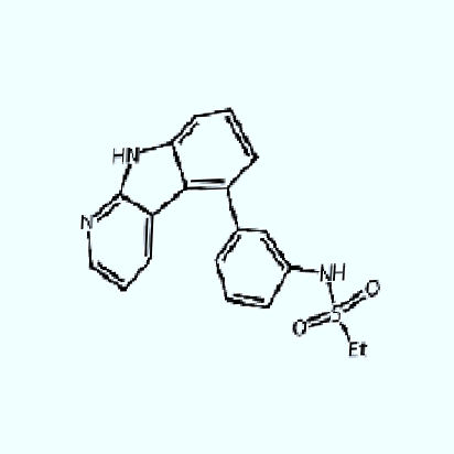 CCS(=O)(=O)Nc1cccc(-c2cccc3[nH]c4ncccc4c23)c1